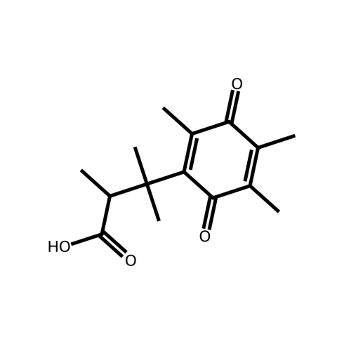 CC1=C(C)C(=O)C(C(C)(C)C(C)C(=O)O)=C(C)C1=O